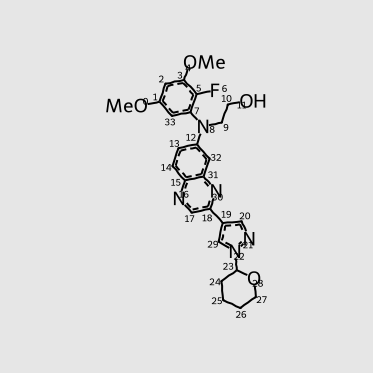 COc1cc(OC)c(F)c(N(CCO)c2ccc3ncc(-c4cnn(C5CCCCO5)c4)nc3c2)c1